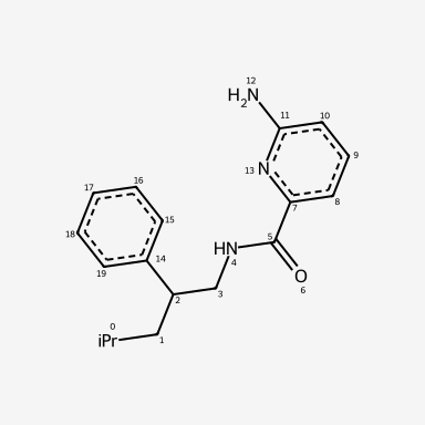 CC(C)CC(CNC(=O)c1cccc(N)n1)c1ccccc1